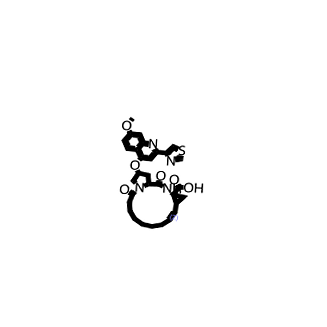 COc1ccc2c(OC3CC4C(=O)NC5(C(=O)O)CC5/C=C\CCCCCCC(=O)N4C3)cc(-c3cscn3)nc2c1